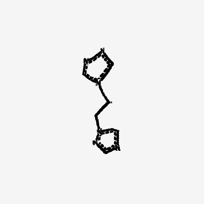 [CH](Cn1cncn1)n1cnnc1